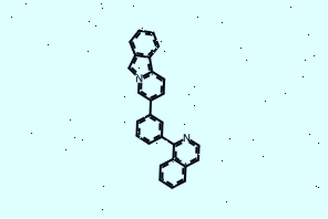 c1cc(-c2ccc3c4ccccc4cn3c2)cc(-c2nccc3ccccc23)c1